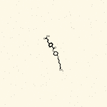 C=CCCCCCOC1CCC(OC(=O)c2ccc(/C=C/C(=O)O)cc2)CC1